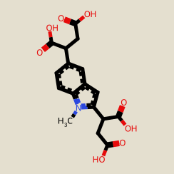 Cn1c(C(CC(=O)O)C(=O)O)cc2cc(C(CC(=O)O)C(=O)O)ccc21